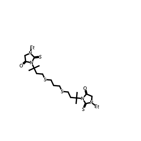 CCN1CC(=O)N(C(C)(C)CCSCCCSCCC(C)(C)N2C(=O)CN(CC)C2=S)C1=S